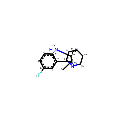 CC1(c2cccc(F)c2)C(N)CC2CCN1CC2